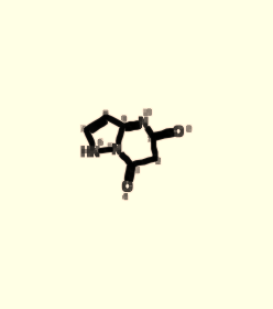 O=C1CC(=O)N2NC=CC2=N1